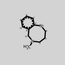 CN1CCC[N]c2ccccc2C1